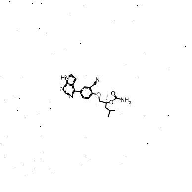 CC(C)C[C@@](C)(COc1ccc(-c2ncnc3[nH]ccc23)cc1C#N)OC(N)=O